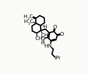 C=C1CCC[C@H]2[C@](C)(CC3=C(O)C(NCCC(C)C)=CC(=O)C3=O)[C@@H](C)CC[C@]12C